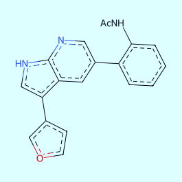 CC(=O)Nc1ccccc1-c1cnc2[nH]cc(-c3ccoc3)c2c1